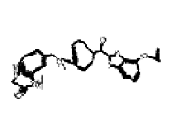 CCOc1cccc2sc(C(=O)C3CCC(NCc4ccc5c(c4)NC(=O)CO5)CC3)nc12